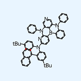 CC(C)(C)c1ccc(N(c2ccc3c(n2)N(c2ccccc2)c2cncc4c2B3c2ccccc2N4c2ccccc2)c2ccc(C(C)(C)C)cc2-c2cccc3ccccc23)cc1